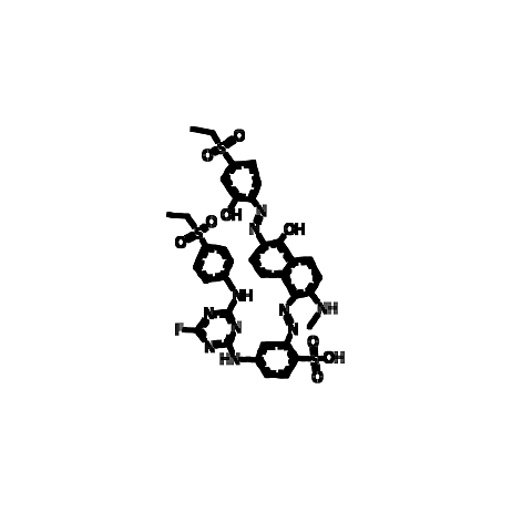 CCS(=O)(=O)c1ccc(Nc2nc(F)nc(Nc3ccc(S(=O)(=O)O)c(/N=N/c4c(NC)ccc5c(O)c(/N=N/c6ccc(S(=O)(=O)CC)cc6O)ccc45)c3)n2)cc1